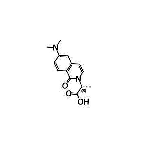 C[C@H](C(=O)O)n1ccc2cc(N(C)C)ccc2c1=O